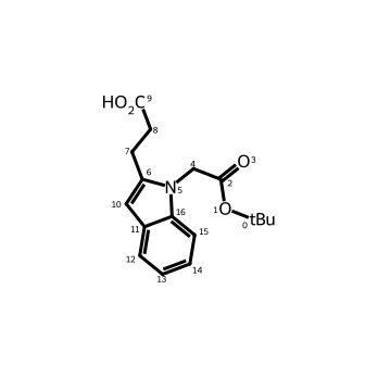 CC(C)(C)OC(=O)Cn1c(CCC(=O)O)cc2ccccc21